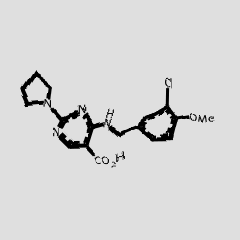 COc1ccc(CNc2nc(N3CCCC3)ncc2C(=O)O)cc1Cl